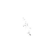 Cc1oc(=O)oc1COC(=O)SC[C@H](NC(=O)C(C)(C)S)C(=O)OCOC(=O)C(C)C